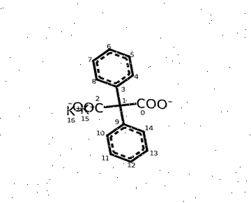 O=C([O-])C(C(=O)[O-])(c1ccccc1)c1ccccc1.[K+].[K+]